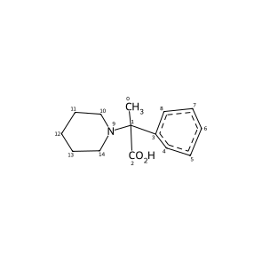 CC(C(=O)O)(c1ccccc1)N1CCCCC1